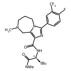 CNC(=O)[C@@H](NC(=O)c1nc(-c2ccc(F)c(C(F)(F)F)c2)n2c1CN(C)CCC2)C(C)(C)C